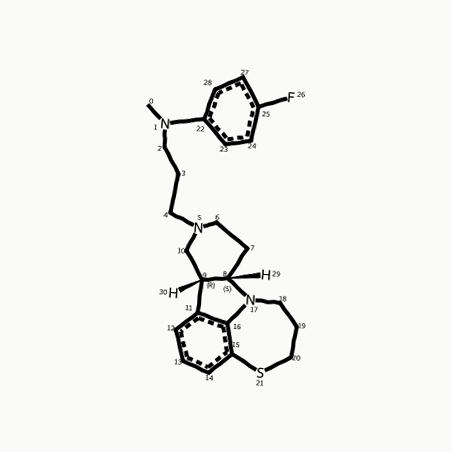 CN(CCCN1CC[C@H]2[C@@H](C1)c1cccc3c1N2CCCS3)c1ccc(F)cc1